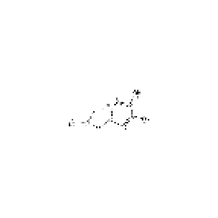 CCN1Cc2cc(O)c(O)cc2C1